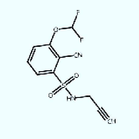 C#CCNS(=O)(=O)c1cccc(OC(F)F)c1C#N